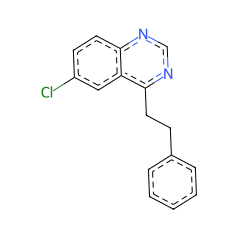 Clc1ccc2ncnc(CCc3ccccc3)c2c1